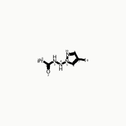 CC(C)C(=O)NNn1cc(I)cn1